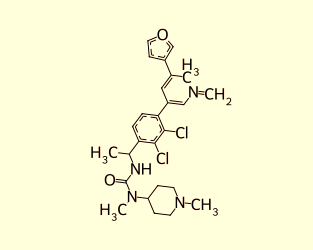 C=N/C=C(\C=C(/C)c1ccoc1)c1ccc(C(C)NC(=O)N(C)C2CCN(C)CC2)c(Cl)c1Cl